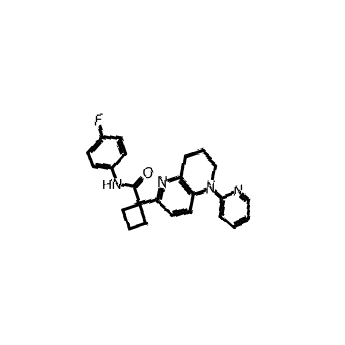 O=C(Nc1ccc(F)cc1)C1(c2ccc3c(n2)CCCN3c2ccccn2)CCC1